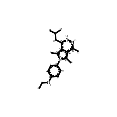 CCOc1ccc(-n2c(C)c3c(C)nnc(CC(C)C)c3c2C)cc1